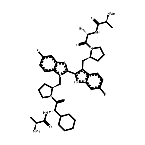 CC[C@H](NC(=O)[C@H](C)NC)C(=O)N1CCC[C@H]1Cc1c(-c2nc3cc(F)ccc3n2C[C@@H]2CCCN2C(=O)[C@@H](NC(=O)[C@H](C)NC)C2CCCCC2)[nH]c2cc(F)ccc12